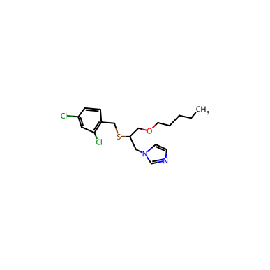 CCCCCOCC(Cn1ccnc1)SCc1ccc(Cl)cc1Cl